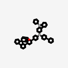 c1ccc(-c2ccc(N(c3ccc(-c4ccc(-c5cccc6c5C5(c7ccccc7-6)C6CC7CC(C6)CC5C7)cc4)cc3)c3ccc4c(c3)c3ccccc3n4-c3ccccc3)cc2)cc1